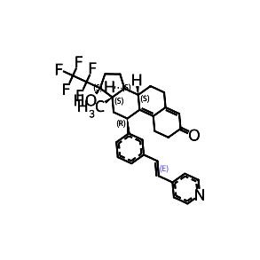 C[C@]12C[C@H](c3cccc(/C=C/c4ccncc4)c3)C3=C4CCC(=O)C=C4CC[C@H]3[C@@H]1CC[C@@]2(O)C(F)(F)C(F)(F)F